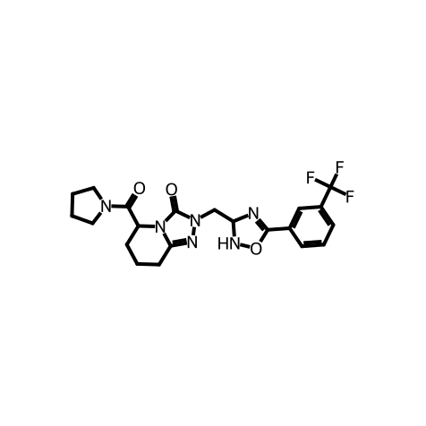 O=C(C1CCCc2nn(CC3N=C(c4cccc(C(F)(F)F)c4)ON3)c(=O)n21)N1CCCC1